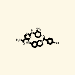 NC(=O)c1cnc(NC2CCCCC2N)nc1Nc1ccc2c(c1)CN(C(=O)c1ccc(O)cc1)CC2